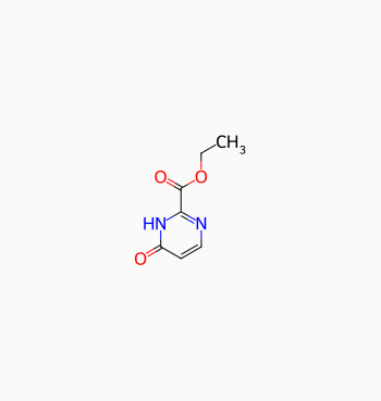 CCOC(=O)c1nccc(=O)[nH]1